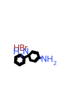 Br.NC1=CCC(N)(c2ccccc2)C=C1